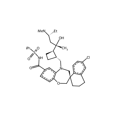 CC[C@H](C[C@](C)(O)[C@@H]1CC[C@H]1CN1C[C@@]2(CCCc3cc(Cl)ccc32)COc2ccc(C(=O)NS(=O)(=O)C(C)C)cc21)NC